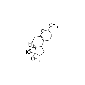 CC1CCC2=C(CCC3(C)C2CCC3(C)O)O1